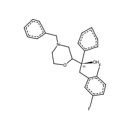 O[C@](Cc1cc(F)ccc1F)(c1ccccc1)C1CN(Cc2ccccc2)CCO1